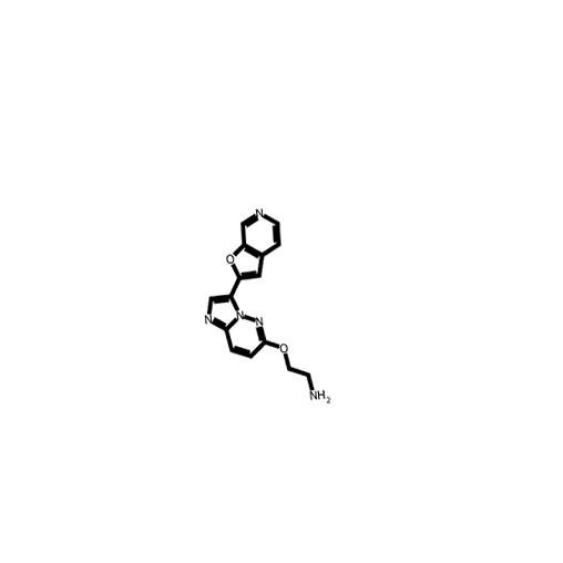 NCCOc1ccc2ncc(-c3cc4ccncc4o3)n2n1